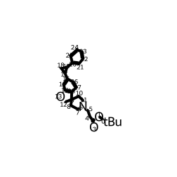 CC(C)(C)OC(=O)CCN1CCC2(CC1)COc1cc(C3CC3c3ccccc3)ccc12